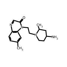 Cc1ccc2ncc(=O)n(CCN3CCC(N)CC3C)c2c1